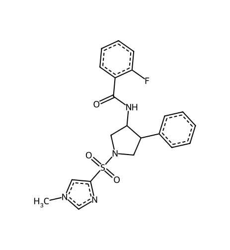 Cn1cnc(S(=O)(=O)N2CC(NC(=O)c3ccccc3F)C(c3ccccc3)C2)c1